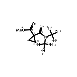 [2H]C([2H])([2H])N(C(=O)C1(C(=O)OC)CC1)C([2H])([2H])[2H]